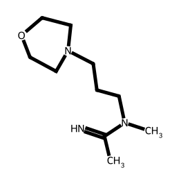 CC(=N)N(C)CCCN1CCOCC1